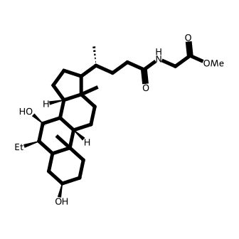 CC[C@@H]1C2C[C@H](O)CCC2(C)[C@H]2CCC3(C)C([C@H](C)CCC(=O)NCC(=O)OC)CC[C@H]3C2[C@@H]1O